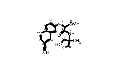 C#Cc1cnc2ccc(OC(SC)C(=O)NC(C)(CO)CO)cc2c1